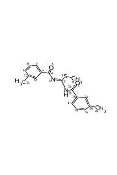 CS/C(=N\C(=O)c1cccc(C)c1)NC(=O)c1cccc(C)c1